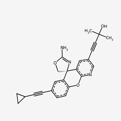 CC(C)(O)C#Cc1cnc2c(c1)[C@@]1(COC(N)=N1)c1cc(C#CC3CC3)ccc1O2